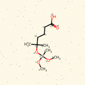 CO[Si](C)(OC)OC(C)(C)CCCC(=O)O